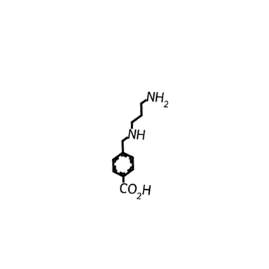 NCCCNCc1ccc(C(=O)O)cc1